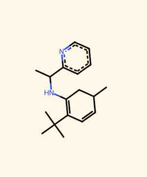 CC1C=CC(C(C)(C)C)=C(NC(C)c2ccccn2)C1